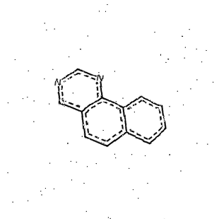 [c]1cc2ccccc2c2ncncc12